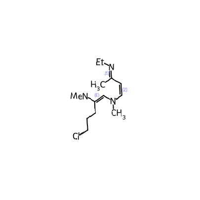 CC/N=C(C)/C=C\N(C)/C=C(\CCCCl)NC